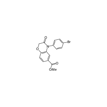 COC(=O)c1ccc2c(c1)N(c1ccc(Br)cc1)C(=O)CO2